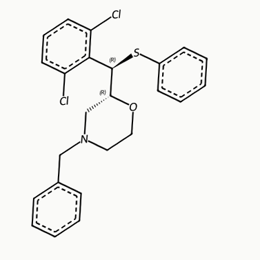 Clc1cccc(Cl)c1[C@@H](Sc1ccccc1)[C@H]1CN(Cc2ccccc2)CCO1